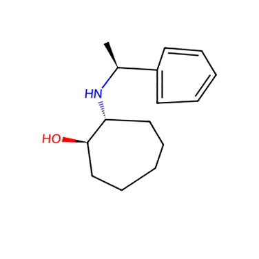 C[C@H](N[C@@H]1CCCCC[C@H]1O)c1ccccc1